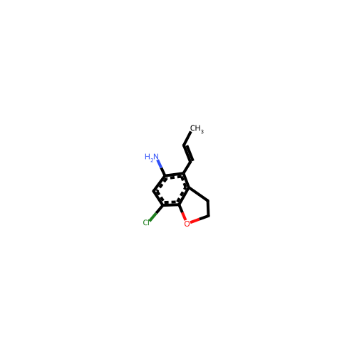 CC=Cc1c(N)cc(Cl)c2c1CCO2